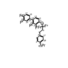 CCCc1ccc(CCC(F)(F)Oc2ccc(-c3ccc(F)c(F)c3)c(F)c2F)cc1